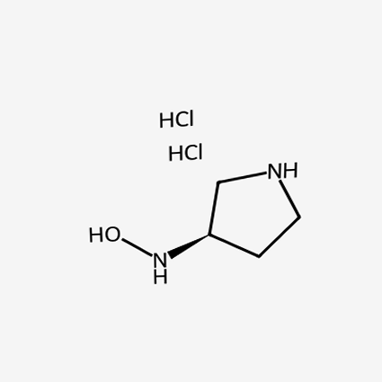 Cl.Cl.ON[C@@H]1CCNC1